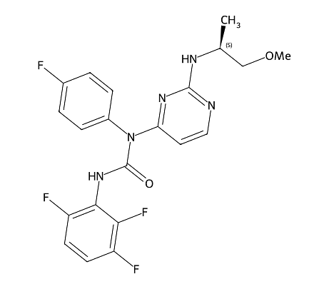 COC[C@H](C)Nc1nccc(N(C(=O)Nc2c(F)ccc(F)c2F)c2ccc(F)cc2)n1